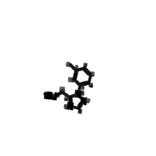 Cc1cccc(-n2ncnc2CC(C)(C)C)c1